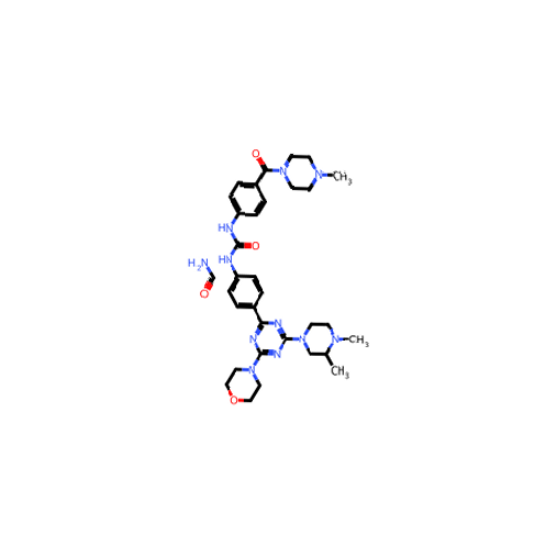 CC1CN(c2nc(-c3ccc(NC(=O)Nc4ccc(C(=O)N5CCN(C)CC5)cc4)cc3)nc(N3CCOCC3)n2)CCN1C.NC=O